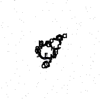 C[C@@H]1[C@@H](C)C/C=C(\F)[C@H](CN2CCOCC2)N2CC[C@H]2CN2CCCCc3cc(Cl)ccc3COc3ccc(cc32)C(=O)NS1(=O)=O